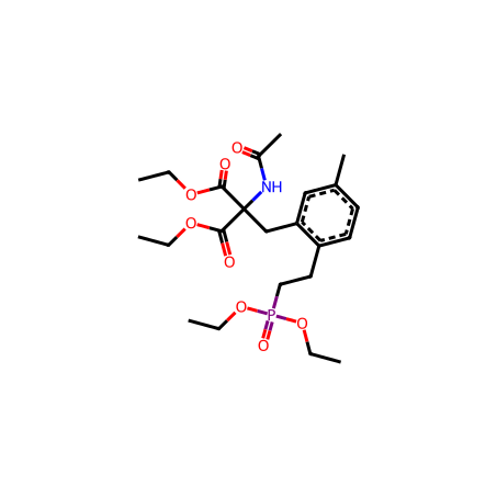 CCOC(=O)C(Cc1cc(C)ccc1CCP(=O)(OCC)OCC)(NC(C)=O)C(=O)OCC